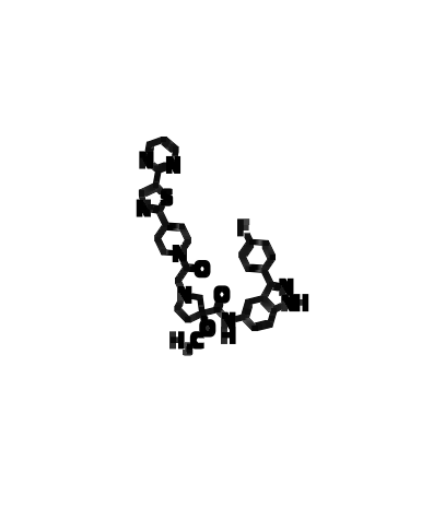 CO[C@@]1(C(=O)Nc2ccc3[nH]nc(-c4ccc(F)cc4)c3c2)CCN(CC(=O)N2CC=C(c3ncc(-c4ncccn4)s3)CC2)C1